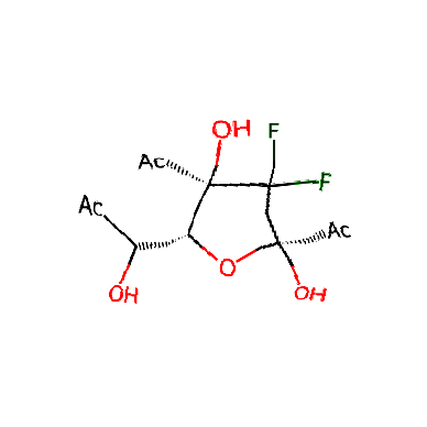 CC(=O)C(O)[C@H]1O[C@@](O)(C(C)=O)C(F)(F)[C@@]1(O)C(C)=O